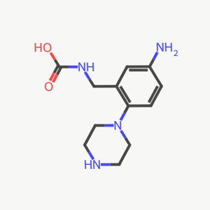 Nc1ccc(N2CCNCC2)c(CNC(=O)O)c1